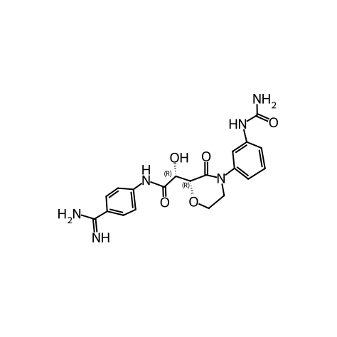 N=C(N)c1ccc(NC(=O)[C@H](O)[C@H]2OCCN(c3cccc(NC(N)=O)c3)C2=O)cc1